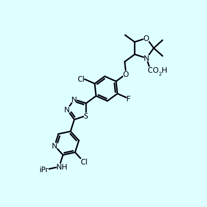 CC(C)Nc1ncc(-c2nnc(-c3cc(F)c(OCC4C(C)OC(C)(C)N4C(=O)O)cc3Cl)s2)cc1Cl